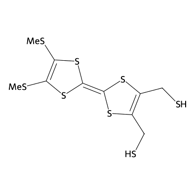 CSC1=C(SC)SC(=C2SC(CS)=C(CS)S2)S1